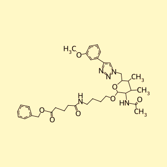 COc1cccc(-c2cn(CC3OC(OCCCCNC(=O)CCCC(=O)OCc4ccccc4)C(NC(C)=O)C(C)C3C)nn2)c1